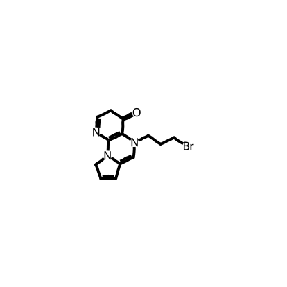 O=C1CC=NC2=C1N(CCCBr)C=C1C=CCN12